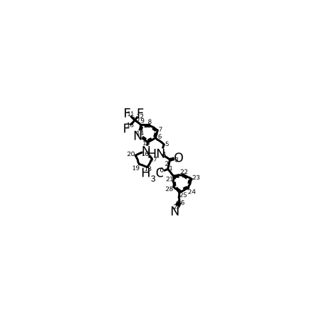 CC(C(=O)NCc1ccc(C(F)(F)F)nc1N1CCCC1)c1cccc(C#N)c1